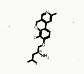 Cc1cc2c(cn1)COc1c-2ccc(OC[C@@H](N)CC(C)C)c1F